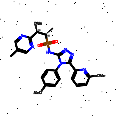 COc1ccc(-n2c(NS(=O)(=O)[C@@H](C)[C@H](OC)c3ncc(C)cn3)nnc2-c2cccc(OC)n2)cc1